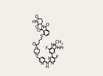 Cc1nc2c(F)cc(-c3nc(Nc4ccc(CN5CCN(C(=O)CCCSc6cccc7c6C(=O)N(C6CCC(=O)NC6=O)C7=O)CC5)cn4)ncc3F)cc2n1C(C)C